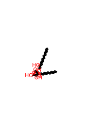 CCCCCCCCCCC[C@H](O)CCO[C@@H]1[C@@H](OCCCCCCCCCC)[C@H](O)[C@@H](CO)O[C@@H]1O